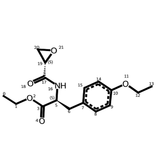 CCOC(=O)[C@H](Cc1ccc(OCC)cc1)NC(=O)[C@@H]1CO1